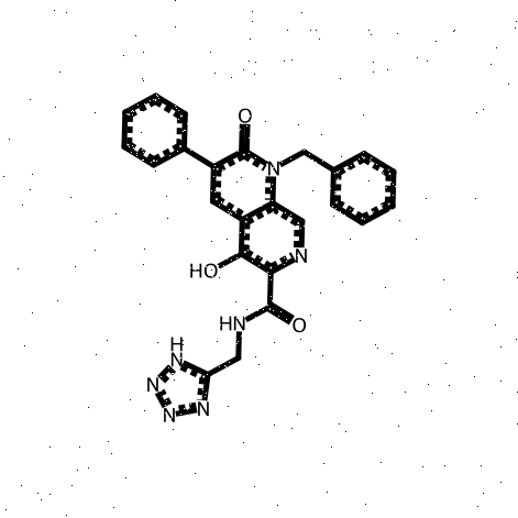 O=C(NCc1nnn[nH]1)c1ncc2c(cc(-c3ccccc3)c(=O)n2Cc2ccccc2)c1O